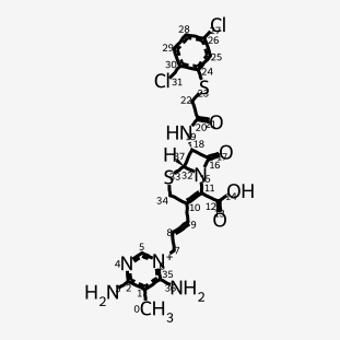 Cc1c(N)nc[n+](C/C=C/C2=C(C(=O)O)N3C(=O)[C@@H](NC(=O)CSc4cc(Cl)ccc4Cl)[C@H]3SC2)c1N